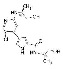 C[C@@H](CO)NC(=O)c1cc(-c2cc(N[C@@H](C)CO)ncc2Cl)c[nH]1